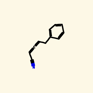 N#CC=C=CCc1ccccc1